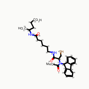 COC(=O)N(C(CS)C(=O)NCCCCCC(=O)NC(CCC(=O)O)C(=O)O)C1c2ccccc2-c2ccccc21